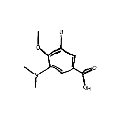 COc1c(Cl)cc(C(=O)O)cc1N(C)C